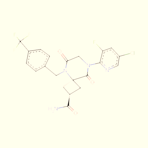 NC(=O)[C@H]1C[C@@]2(C1)C(=O)N(c1ncc(Cl)cc1F)CC(=O)N2Cc1ccc(C(F)(F)F)cc1